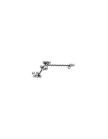 N[C@@H](CCCCNC(=O)CC[C@H](NC(=O)CCCCCCCCCCCCCCCCC(=O)O)C(=O)O)C(=O)O